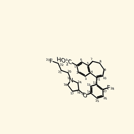 O=C(O)c1ccc2c(c1)CCCC=C2c1cc(OC2CCN(CCCF)C2)ccc1F